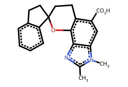 Cc1nc2c3c(c(C(=O)O)cc2n1C)CCC1(CCc2ccccc21)O3